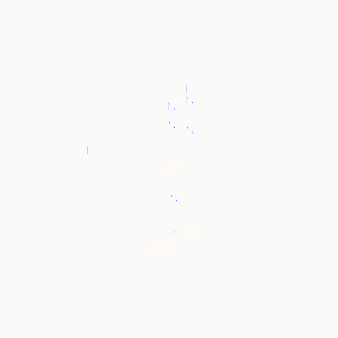 CCCCC(=O)N(Cc1ccc(-c2ccccc2-c2nnn[nH]2)cc1)C(CCc1ccccc1)C(=O)O